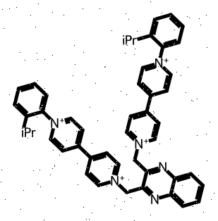 CC(C)c1ccccc1-[n+]1ccc(-c2cc[n+](Cc3nc4ccccc4nc3C[n+]3ccc(-c4cc[n+](-c5ccccc5C(C)C)cc4)cc3)cc2)cc1